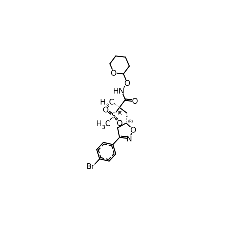 C[C@@](C[C@H]1CC(c2ccc(Br)cc2)=NO1)(C(=O)NOC1CCCCO1)S(C)(=O)=O